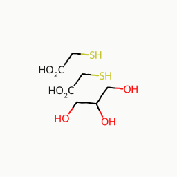 O=C(O)CS.O=C(O)CS.OCC(O)CO